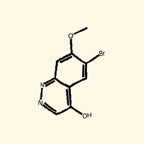 COc1cc2nncc(O)c2cc1Br